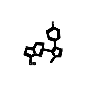 Cn1cnc(-c2ccc(F)cc2)c1-c1ccc2ncc(C=O)n2n1